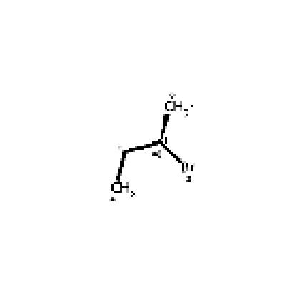 [CH2][C@@H](Br)CC